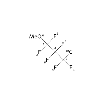 COC(F)(F)C(F)(F)C(F)(F)Cl